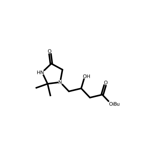 CC(C)COC(=O)CC(O)CN1CC(=O)NC1(C)C